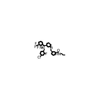 CCCNC(=O)c1cccc(COc2cccc(-c3c4cccc(C(F)(F)F)c4nn3Cc3ccc(Cl)cc3F)c2)c1